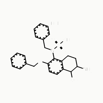 CS(=O)(=O)N(Cc1ccccc1)c1c(OCc2ccccc2)ccc2c1CCC(N)C2O.Cl